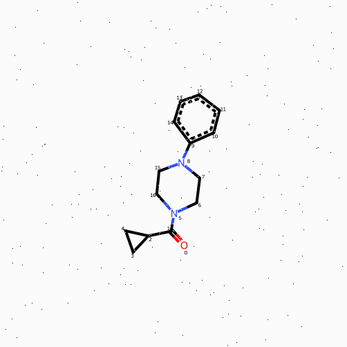 O=C(C1CC1)N1CCN(c2cc[c]cc2)CC1